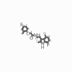 Cc1cc(F)ccc1OCC(=O)NCCc1c(C)[nH]c2c(F)ccc(C)c12